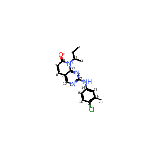 CCC(C)n1c(=O)ccc2cnc(Nc3ccc(Cl)c(C)c3)nc21